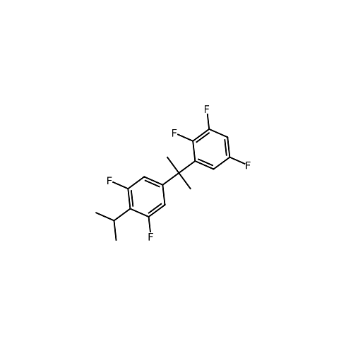 CC(C)c1c(F)cc(C(C)(C)c2cc(F)cc(F)c2F)cc1F